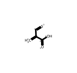 C=C([C]=S)C(=O)O